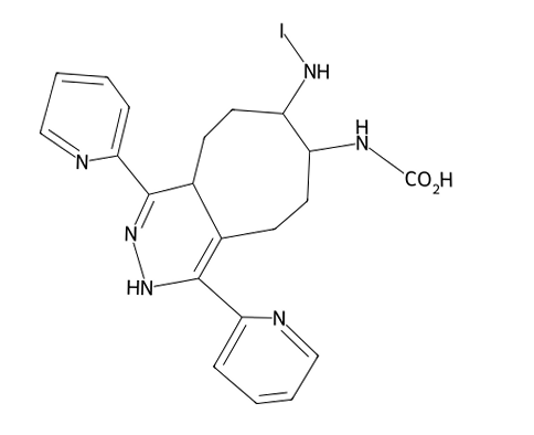 O=C(O)NC1CCC2=C(c3ccccn3)NN=C(c3ccccn3)C2CCC1NI